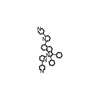 c1ccc(-c2c(-c3ccccc3)n(-c3cccc(-c4ccncc4)n3)c3c2ccc2c(-c4cccc(-c5ccncc5)n4)cccc23)cc1